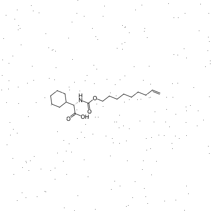 C=CCCCCCCCOC(=O)N[C@H](C(=O)O)C1CCCCC1